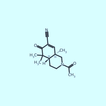 CC(=O)N1CC[C@@H]2C(C)(C)C(=O)C(C#N)=C[C@@]2(C)C1